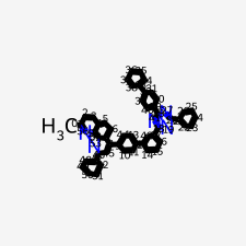 Cc1ccc2ccc3c(-c4ccc(-c5cccc(-c6nc(-c7ccccc7)nc(-c7ccc(-c8ccccc8)cc7)n6)c5)cc4)cc(-c4ccccc4)nc3c2n1